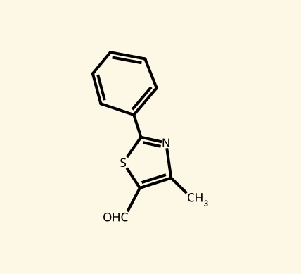 Cc1nc(-c2ccccc2)sc1C=O